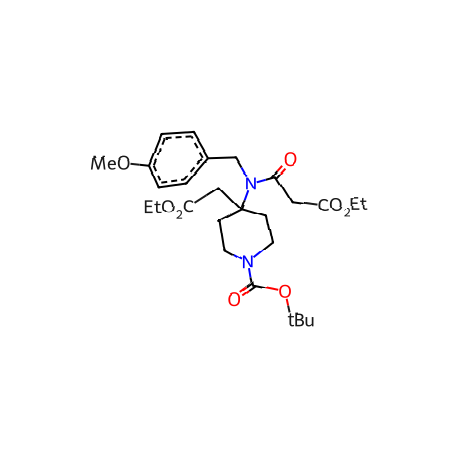 CCOC(=O)CC(=O)N(Cc1ccc(OC)cc1)C1(CC(=O)OCC)CCN(C(=O)OC(C)(C)C)CC1